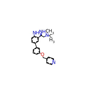 CN(C)CC(=N)c1cc(-c2cccc(OCc3ccncc3)c2)ccc1N